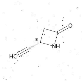 C#C[C@@H]1CC(=O)N1